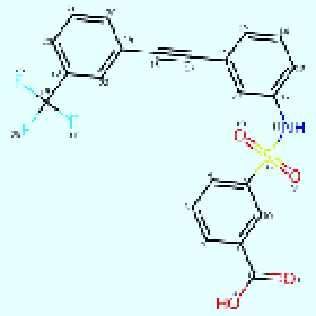 O=C(O)c1cccc(S(=O)(=O)Nc2cccc(C#Cc3cccc(C(F)(F)F)c3)c2)c1